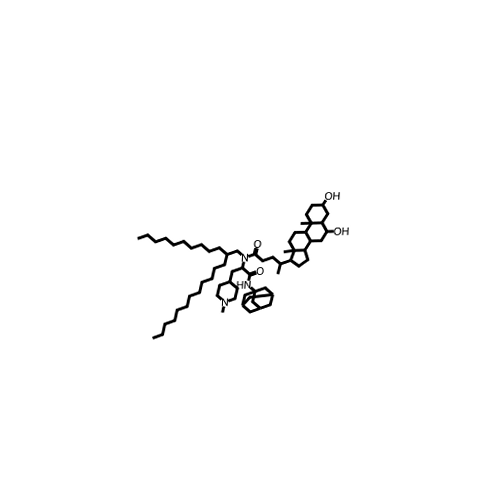 CCCCCCCCCCCCC(CCCCCCCCCC)CN(C(=O)CCC(C)C1CCC2C3CC(O)C4CC(O)CCC4(C)C3CCC12C)C(CC1CCN(C)CC1)C(=O)NC12CC3CC(CC(C3)C1)C2